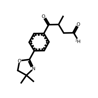 [2H]C(=O)CC(C)C(=O)c1ccc(C2=NC(C)(C)CO2)cc1